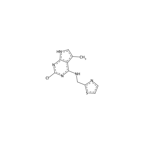 Cc1c[nH]c2nc(Cl)nc(NCc3nccs3)c12